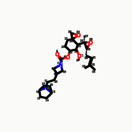 COC1C(OC(=O)N2CC(CCN3C4CCC3CC4)C2)CCC2(CO2)C1[C@@]1(C)O[C@@H]1CC=C(C)C